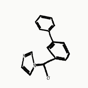 ClC(c1cccc(-c2ccccc2)c1)n1ccnc1